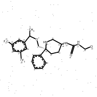 CC(OC[C@@]1(c2ccccc2)CC[C@H](NC(=O)NCCl)CN1)c1cc(C(F)(F)F)cc(C(F)(F)F)c1